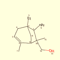 CCCC1C2(CC)CC=C(C)C(C2)C1(C)CO